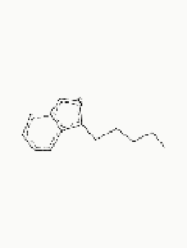 CCCCCc1scc2ccccc12